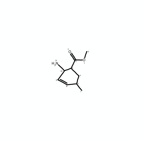 COC(=O)C1CC(C)C=CC1N